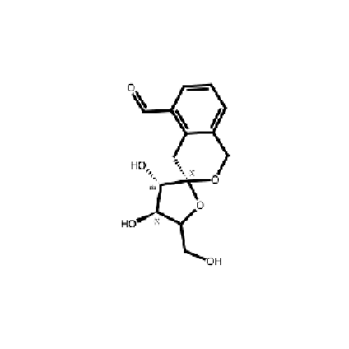 O=Cc1cccc2c1C[C@]1(OC2)OC(CO)[C@@H](O)[C@@H]1O